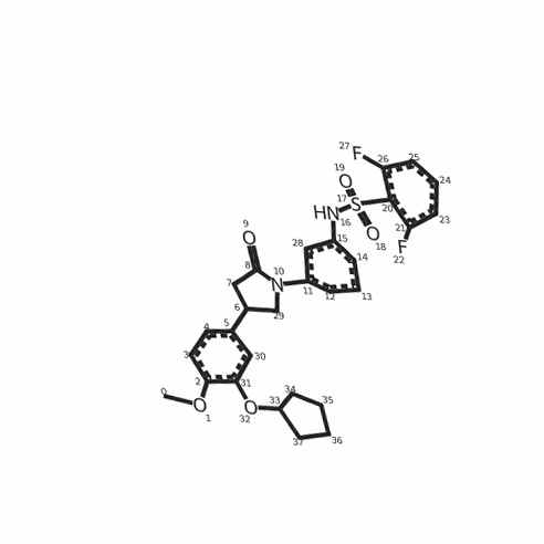 COc1ccc(C2CC(=O)N(c3cccc(NS(=O)(=O)c4c(F)cccc4F)c3)C2)cc1OC1CCCC1